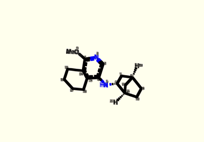 COc1ncc(N[C@@H]2C[C@H]3CC[C@@H]2C3)c2c1CCCC2